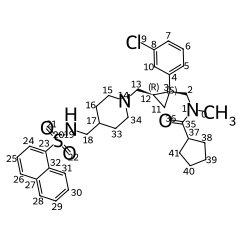 CN(C[C@@]1(c2cccc(Cl)c2)C[C@H]1CN1CCC(CNS(=O)(=O)c2cccc3ccccc23)CC1)C(=O)C1CCCC1